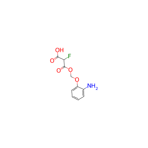 Nc1ccccc1OCOC(=O)C(F)C(=O)O